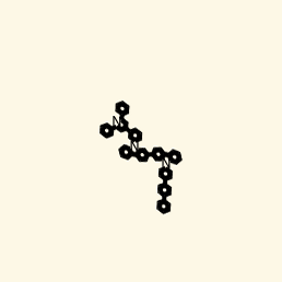 c1ccc(-c2ccc(-c3ccc(-n4c5ccccc5c5ccc(-c6ccc7c8ccccc8n(-c8cccc(-c9cc(-c%10ccccc%10)nc(-c%10ccccc%10)c9)c8)c7c6)cc54)cc3)cc2)cc1